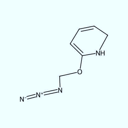 [N-]=[N+]=NCOC1=CC=CCN1